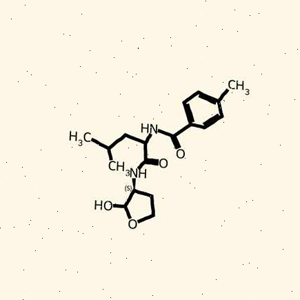 Cc1ccc(C(=O)NC(CC(C)C)C(=O)N[C@H]2CCOC2O)cc1